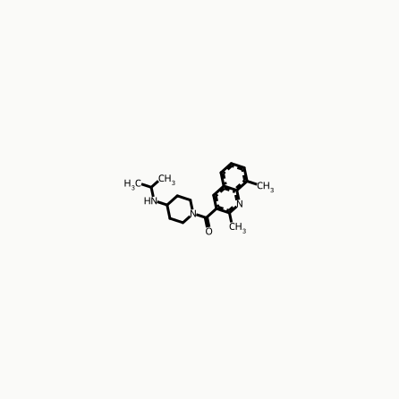 Cc1nc2c(C)cccc2cc1C(=O)N1CCC(NC(C)C)CC1